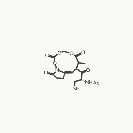 CC(=O)N[C@H](CS)C(=O)C1/C=C2/CCC(=O)N2OC(=O)OCOC(=O)C1C